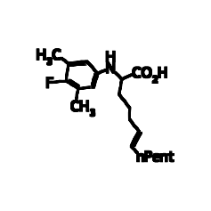 CCCCC/C=C/CCCC(Nc1cc(C)c(F)c(C)c1)C(=O)O